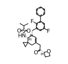 CC(C)S(=O)(=O)N[C@@H]1[C@H](Cc2cc(F)cc(-c3ccccc3)c2F)C=C(CC(=O)[C@H]2CCO2)CC12CC2